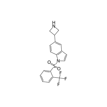 O=S(=O)(c1ccccc1C(F)(F)F)n1ccc2cc(C3CNC3)ccc21